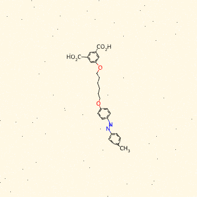 Cc1ccc(N=Nc2ccc(OCCCCCCOc3cc(C(=O)O)cc(C(=O)O)c3)cc2)cc1